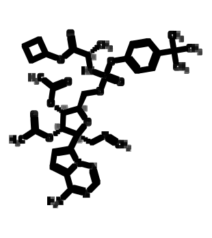 C=NC[C@@]1(c2ccc3c(N)ncnn23)O[C@H](COP(=O)(N[C@@H](C)C(=O)OC2CCC2)Oc2ccc(C(C)(C)C)cc2)[C@@H](OC(C)=O)[C@H]1OC(C)=O